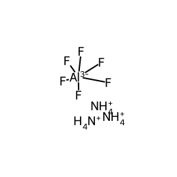 [F][Al-3]([F])([F])([F])([F])[F].[NH4+].[NH4+].[NH4+]